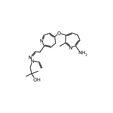 C=CN(CC(C)(C)O)/N=C\CC1=CCC(OC2=CCC=C(N)N=C2C)=CC=N1